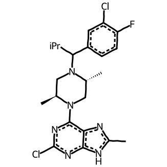 Cc1nc2c(N3C[C@@H](C)N(C(c4ccc(F)c(Cl)c4)C(C)C)C[C@@H]3C)nc(Cl)nc2[nH]1